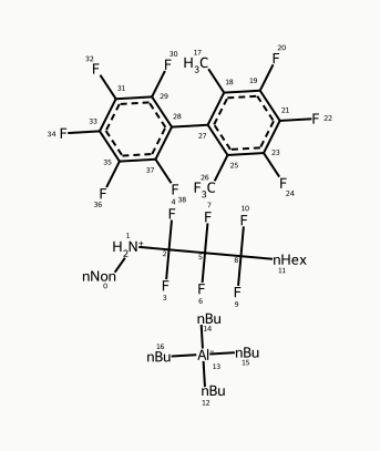 CCCCCCCCC[NH2+]C(F)(F)C(F)(F)C(F)(F)CCCCCC.CCC[CH2][Al-]([CH2]CCC)([CH2]CCC)[CH2]CCC.Cc1c(F)c(F)c(F)c(C(F)(F)F)c1-c1c(F)c(F)c(F)c(F)c1F